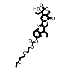 CCOCCOCCOC(=O)Oc1ccc2nc3c(c(CC)c2c1)Cn1c-3cc2c(c1=O)COC(=O)[C@]2(O)CC